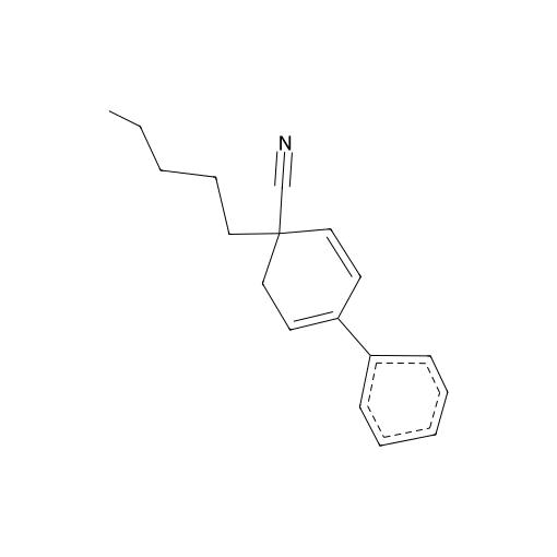 CCCCCC1(C#N)C=CC(c2ccccc2)=CC1